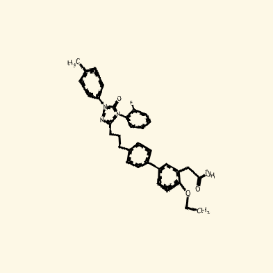 CCOc1ccc(-c2ccc(CCCc3nn(-c4ccc(C)cc4)c(=O)n3-c3ccccc3F)cc2)cc1CC(=O)O